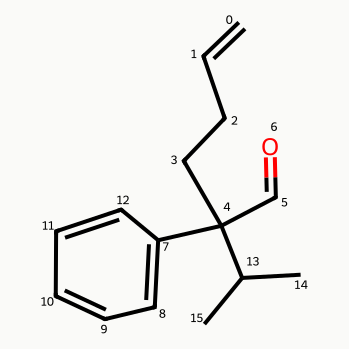 C=CCCC(C=O)(c1ccccc1)C(C)C